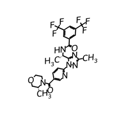 Cc1nc([C@H](C)NC(=O)c2cc(C(F)(F)F)cc(C(F)(F)F)c2)n(-c2ccc(C(=O)N3CCOC[C@H]3C)cn2)n1